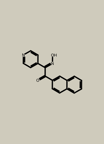 O=C(C(=NO)c1ccncc1)c1ccc2ccccc2c1